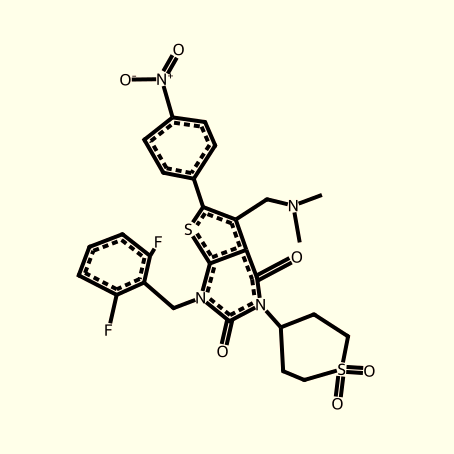 CN(C)Cc1c(-c2ccc([N+](=O)[O-])cc2)sc2c1c(=O)n(C1CCS(=O)(=O)CC1)c(=O)n2Cc1c(F)cccc1F